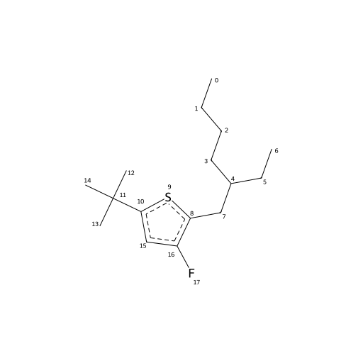 CCCCC(CC)Cc1sc(C(C)(C)C)cc1F